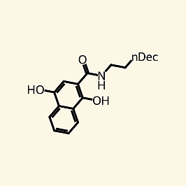 CCCCCCCCCCCCNC(=O)c1cc(O)c2ccccc2c1O